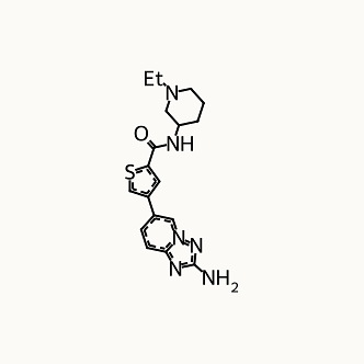 CCN1CCCC(NC(=O)c2cc(-c3ccc4nc(N)nn4c3)cs2)C1